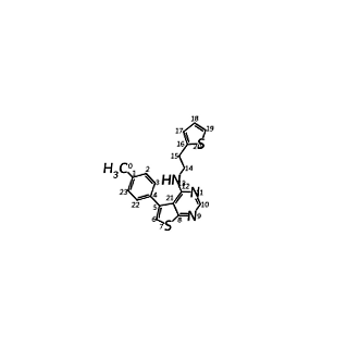 Cc1ccc(-c2csc3ncnc(NCCc4cccs4)c23)cc1